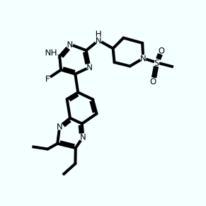 CCc1nc2ccc(-c3nc(NC4CCN(S(C)(=O)=O)CC4)ncc3F)cc2nc1CC.N